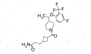 CC(Oc1ccc(F)cc1C(F)(F)F)C1CCN(C(=O)C2CC(CCC(N)=O)C2)CC1